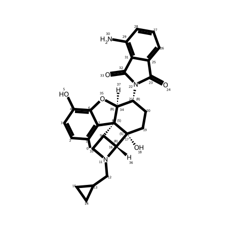 Cc1ccc(O)c2c1[C@]13C4CN(CC5CC5)[C@H]4[C@]1(O)CC[C@@H](N1C(=O)c4cccc(N)c4C1=O)[C@@H]3O2